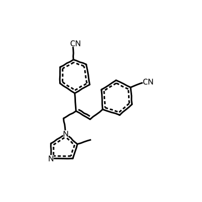 Cc1cncn1CC(=Cc1ccc(C#N)cc1)c1ccc(C#N)cc1